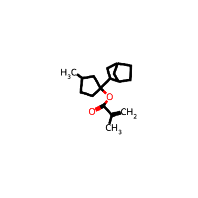 C=C(C)C(=O)OC1(C2CC3CCC2C3)CCC(C)C1